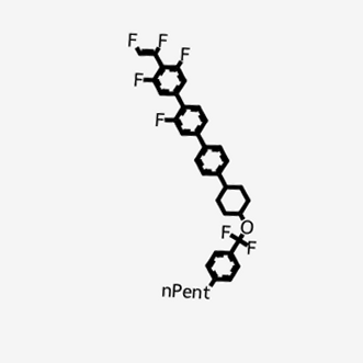 CCCCCc1ccc(C(F)(F)OC2CCC(c3ccc(-c4ccc(-c5cc(F)c(/C(F)=C/F)c(F)c5)c(F)c4)cc3)CC2)cc1